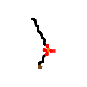 CCCCCCCCCOP(=O)(O)OCCCBr